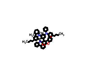 CCCCc1ccc(N(c2ccccc2)c2cc3c4c(c2)N2c5c(cc(CCCC)cc5C5(C)CCCCC25C)B4N(c2ccccc2-c2ccccc2)c2ccc4oc5ccccc5c4c2-3)cc1